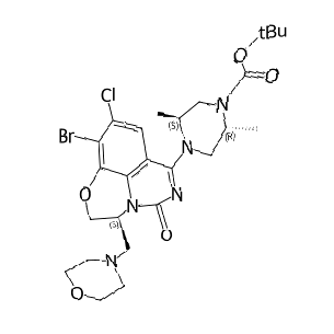 C[C@@H]1CN(c2nc(=O)n3c4c(c(Br)c(Cl)cc24)OC[C@@H]3CN2CCOCC2)[C@@H](C)CN1C(=O)OC(C)(C)C